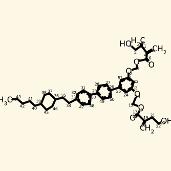 C=C(CO)C(=C)C(=O)OCOc1cc(OCOC(=O)C(=C)CCO)cc(-c2ccc(-c3ccc(CCC4CCC(CCCCC)CC4)cc3)cc2)c1